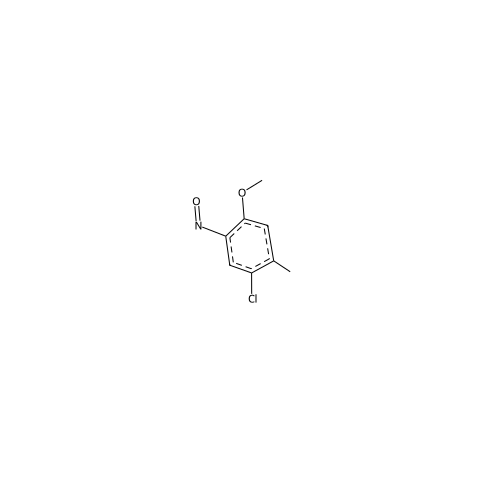 COc1cc(C)c(Cl)cc1N=O